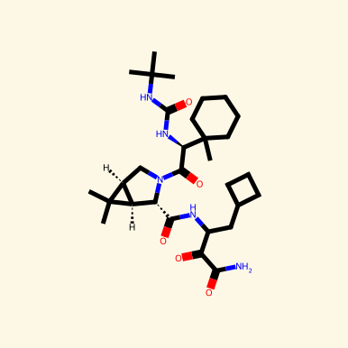 CC(C)(C)NC(=O)N[C@H](C(=O)N1C[C@H]2[C@@H]([C@H]1C(=O)NC(CC1CCC1)C(=O)C(N)=O)C2(C)C)C1(C)CCCCC1